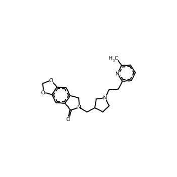 Cc1cccc(CCN2CCC(CN3Cc4cc5c(cc4C3=O)OCO5)C2)n1